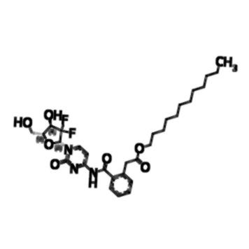 CCCCCCCCCCCCOC(=O)Cc1ccccc1C(=O)Nc1ccn([C@@H]2O[C@H](CO)[C@@H](O)C2(F)F)c(=O)n1